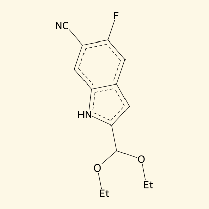 CCOC(OCC)c1cc2cc(F)c(C#N)cc2[nH]1